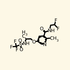 Cc1ncc(OC[C@H](C)NS(=O)(=O)C(F)(F)F)cc1C(=O)NCC(F)F